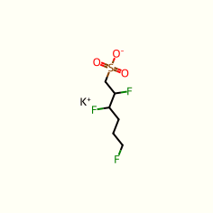 O=S(=O)([O-])CC(F)C(F)CCCF.[K+]